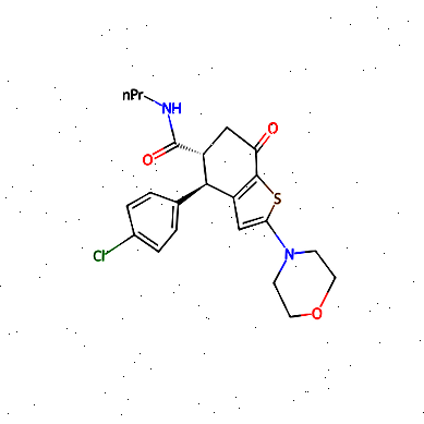 CCCNC(=O)[C@@H]1CC(=O)c2sc(N3CCOCC3)cc2[C@H]1c1ccc(Cl)cc1